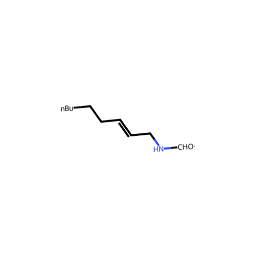 CCCCCCC=CCN[C]=O